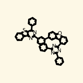 c1ccc(-c2nc(-c3ccccc3)nc(-c3cccc4oc5ccc(-c6cccc(-c7nc(-c8ccccc8)c8sc9ccccc9c8n7)c6)cc5c34)n2)cc1